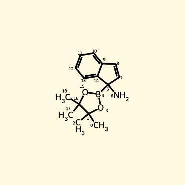 CC1(C)OB(C2(N)C=Cc3ccccc32)OC1(C)C